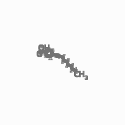 CCCCCCCCC#Cc1ccc(C(=O)O)cc1